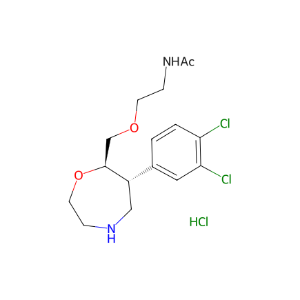 CC(=O)NCCOC[C@@H]1OCCNC[C@H]1c1ccc(Cl)c(Cl)c1.Cl